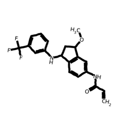 C=CC(=O)Nc1ccc2c(c1)C(OC)CC2Nc1cccc(C(F)(F)F)c1